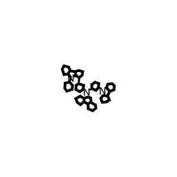 c1ccc(-n2c3ccccc3c3cccc(-c4cccc(N(c5cccc(-n6c7ccccc7c7ccccc76)c5)c5cc6ccccc6c6ccccc56)c4)c32)cc1